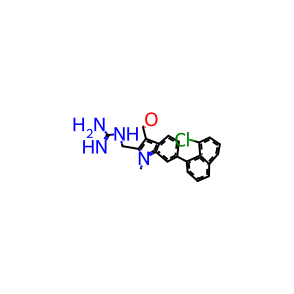 Cn1c(CNC(=N)N)c(C=O)c2ccc(-c3cccc4cccc(Cl)c34)cc21